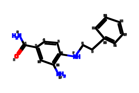 NC(=O)c1ccc(NCCc2ccccc2)c(N)c1